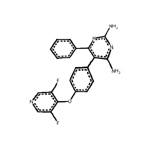 Nc1nc(N)c(-c2ccc(Oc3c(F)cncc3F)cc2)c(-c2ccccc2)n1